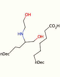 CCCCCCCCCCCCC(CO)NCCO.CCCCCCCCCCCCCCCC(=O)O